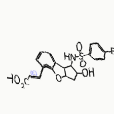 O=C(O)/C=C/c1cccc2c1OC1CC(O)C(NS(=O)(=O)c3ccc(Br)cc3)C21